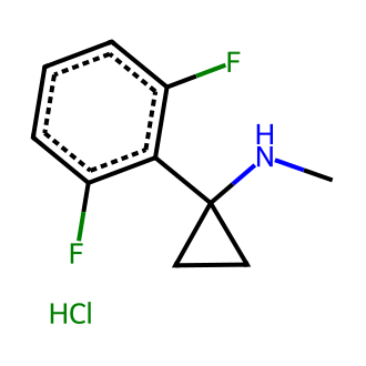 CNC1(c2c(F)cccc2F)CC1.Cl